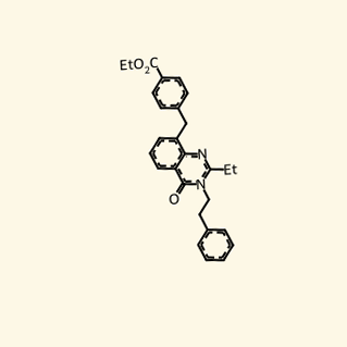 CCOC(=O)c1ccc(Cc2cccc3c(=O)n(CCc4ccccc4)c(CC)nc23)cc1